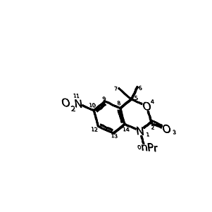 CCCN1C(=O)OC(C)(C)c2cc([N+](=O)[O-])ccc21